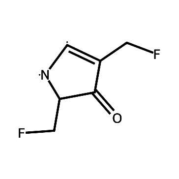 O=C1C(CF)=[C][N]C1CF